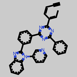 C#C/C=C\C(=C/C)c1nc(-c2ccccc2)nc(-c2cccc(-c3nc4ccccc4n3-c3cccnc3)c2)n1